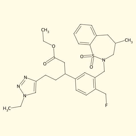 CCOC(=O)CC(CCc1cn(CC)nn1)c1ccc(CF)c(CN2CC(C)Cc3ccccc3S2(=O)=O)c1